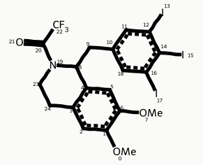 COc1cc2c(cc1OC)C(Cc1cc(I)c(I)c(I)c1)N(C(=O)C(F)(F)F)CC2